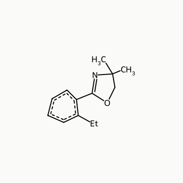 CCc1ccccc1C1=NC(C)(C)CO1